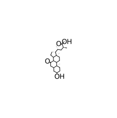 C[C@H](C[C@H](C)C(=O)O)[C@H]1CCC2C3C(=O)CC4C[C@H](O)CC[C@]4(C)C3CC[C@@]21C